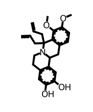 C=CCC1(CC=C)c2c(ccc(OC)c2OC)CC2c3cc(O)c(O)cc3CCN21